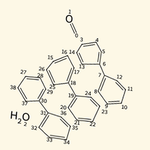 C=O.O.c1ccc(-c2ccccc2)cc1.c1ccc(-c2ccccc2)cc1.c1ccc(-c2ccccc2)cc1